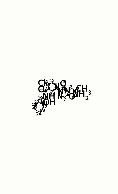 CC(N)Cn1c(=O)cnn(-c2ccc(Cl)c(C(=O)NCC3(O)CCCCCC3)c2)c1=O